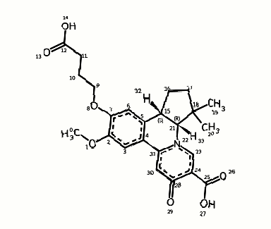 COc1cc2c(cc1OCCCC(=O)O)[C@@H]1CCC(C)(C)[C@@H]1n1cc(C(=O)O)c(=O)cc1-2